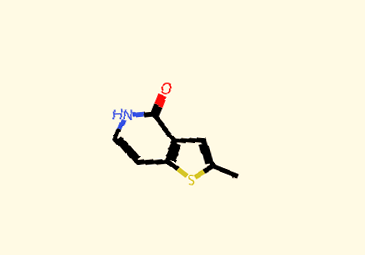 Cc1cc2c(=O)[nH]ccc2s1